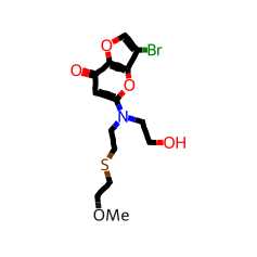 COCCSCCN(CCO)c1cc(=O)c2occ(Br)c2o1